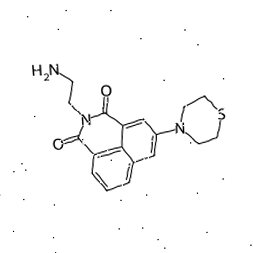 NCCN1C(=O)c2cccc3cc(N4CCSCC4)cc(c23)C1=O